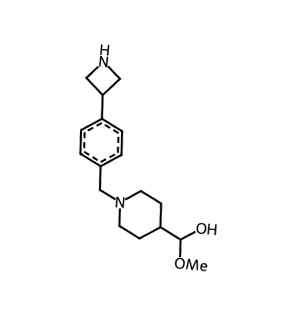 COC(O)C1CCN(Cc2ccc(C3CNC3)cc2)CC1